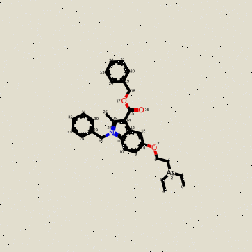 CC[As](CC)CCOc1ccc2c(c1)c(C(=O)OCc1ccccc1)c(C)n2Cc1ccccc1